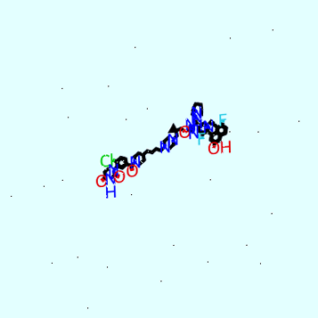 C#Cc1c(F)ccc2cc(O)cc(-c3ncc4c(N5CC6CCC(C5)N6)nc(OCC5(CN6CCN(CCCCC7CCN(C(=O)c8ccc(Cl)c(N9CCC(=O)NC9=O)c8)CC7)CC6)CC5)nc4c3F)c12